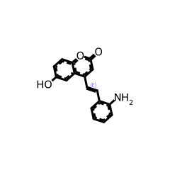 Nc1ccccc1/C=C/c1cc(=O)oc2ccc(O)cc12